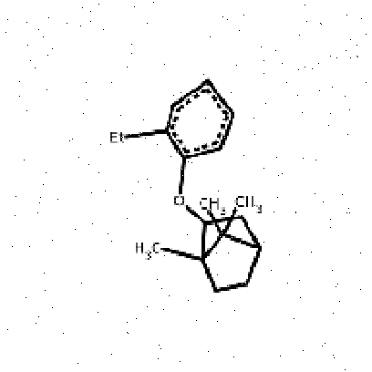 [CH2]Cc1ccccc1OC1CC2CCC1(C)C2(C)C